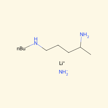 CCCCNCCCC(C)N.[Li+].[NH2-]